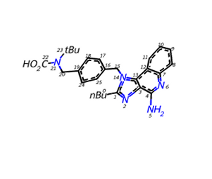 CCCCc1nc2c(N)nc3ccccc3c2n1Cc1ccc(CN(C(=O)O)C(C)(C)C)cc1